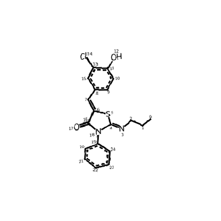 CCC/N=C1\S/C(=C\c2ccc(O)c(Cl)c2)C(=O)N1c1ccccc1